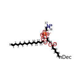 C=CCCCCCCCCCCCCC(=O)O[C@H](COC(=O)CCCCCCCCCCCCCCC)COP(=O)([O-])OCC[N+](C)(C)C